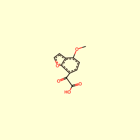 COc1ccc(C(=O)C(=O)O)c2occc12